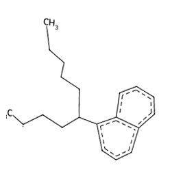 C[CH]CCC(CCCCC)c1cccc2ccccc12